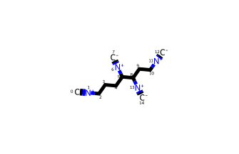 [C-]#[N+]CCCC([N+]#[C-])C(CC[N+]#[C-])[N+]#[C-]